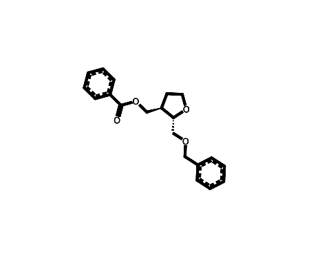 O=C(OC[C@H]1CCO[C@@H]1COCc1ccccc1)c1ccccc1